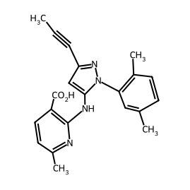 CC#Cc1cc(Nc2nc(C)ccc2C(=O)O)n(-c2cc(C)ccc2C)n1